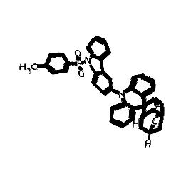 Cc1ccc(S(=O)(=O)n2c3ccccc3c3cc(N4c5ccccc5C5(c6ccccc64)C4CC[C@@H]6CC(C4)C[C@@H]5C6)ccc32)cc1